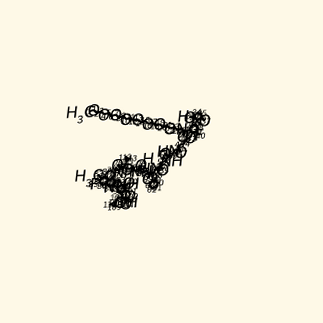 COCCOCCOCCOCCOCCOCCOCCOCCNC(=O)c1cc(N2C(=O)C=CC2=O)cc(F)c1OCCCC(=O)NCC(=O)NCC(=O)N[C@@H](Cc1ccccc1)C(=O)NCC(=O)NCO[C@H](C(=O)N[C@H]1CCc2c(C)c(F)cc3nc4c(c1c23)Cn1c-4cc2c(c1=O)COC(=O)[C@]2(O)CC1CC1)C1CC1